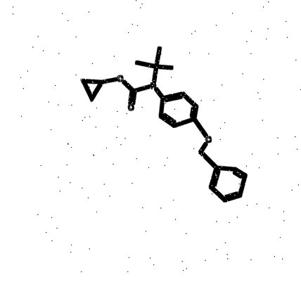 CC(C)(C)N(C(=O)OC1CC1)c1ccc(OCc2ccccc2)cc1